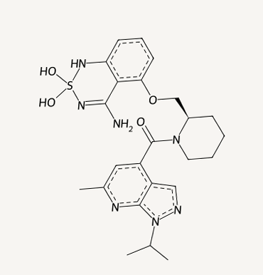 Cc1cc(C(=O)N2CCCC[C@@H]2COc2cccc3c2C(N)=NS(O)(O)N3)c2cnn(C(C)C)c2n1